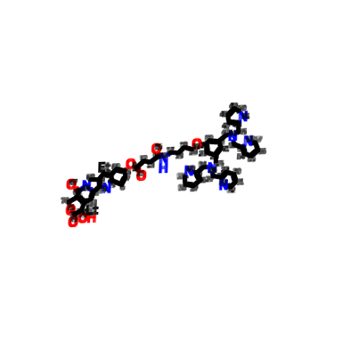 CCc1c2c(nc3ccc(OC(=O)CCC(=O)NCCCCOc4cc(CN(Cc5ccccn5)Cc5ccccn5)cc(CN(Cc5ccccn5)Cc5ccccn5)c4)cc13)-c1cc3c(c(=O)n1C2)COC(=O)[C@@]3(O)CC